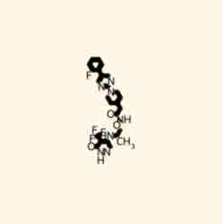 CC(CONC(=O)CC1=CCN(c2ncc(-c3ccccc3F)cn2)CC1)Nc1cn[nH]c(=O)c1C(F)(F)F